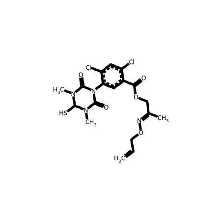 C=CCON=C(C)COC(=O)c1cc(N2C(=O)N(C)C(S)N(C)C2=O)c(Cl)cc1Cl